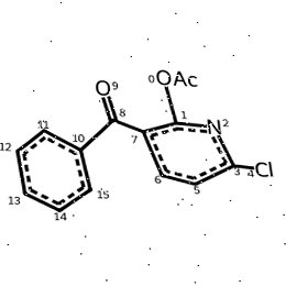 CC(=O)Oc1nc(Cl)ccc1C(=O)c1ccccc1